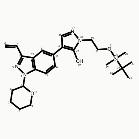 C=Cc1nn(C2CCCCO2)c2ccc(-c3cnn(CCO[Si](C)(C)C(C)(C)C)c3O)cc12